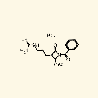 CC(=O)OC1C(CCCNC(=N)N)C(=O)N1C(=O)c1ccccc1.Cl